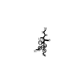 C=C(C(=O)O[SiH](OCC)OCC)C(C)CCC